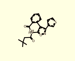 CC(C)(C)CC(=O)Nc1onc(-c2ccsc2)c1-c1ccccc1C(=O)O